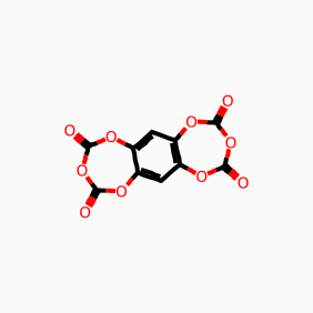 O=c1oc(=O)oc2cc3oc(=O)oc(=O)oc3cc2o1